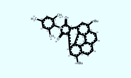 CCCCc1cc2c3c(=O)n(-c4c(C)cc(C)cc4C)c(=O)c3c3cc(CCCC)c4ccc5ccc1c1c5c4c3c21